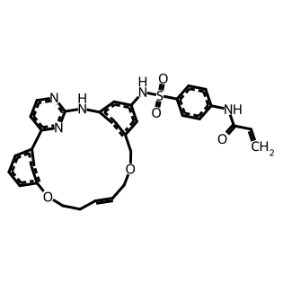 C=CC(=O)Nc1ccc(S(=O)(=O)Nc2cc3cc(c2)Nc2nccc(n2)-c2cccc(c2)OCC/C=C/COC3)cc1